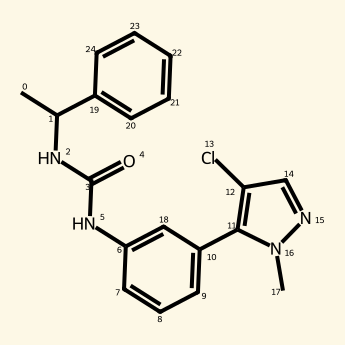 CC(NC(=O)Nc1cccc(-c2c(Cl)cnn2C)c1)c1ccccc1